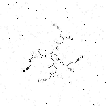 C#CCSC(C)CC(=O)OCC(COC(=O)CC(C)SCC#C)(COC(=O)CC(C)SCC#C)COC(=O)CC(C)SCC#C